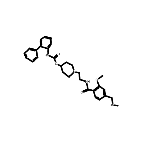 CNCc1ccc(C(=O)NCCN2CCC(OC(=O)Nc3ccccc3-c3ccccc3)CC2)c(OC)c1